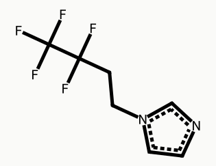 FC(F)(F)C(F)(F)CCn1ccnc1